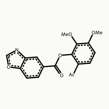 COc1ccc(C(C)=O)c(OC(=O)c2ccc3ocnc3c2)c1OC